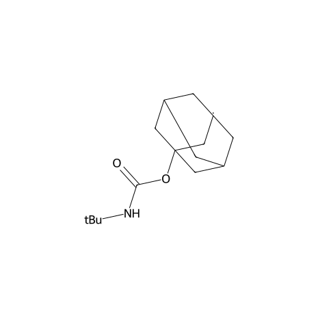 CC(C)(C)NC(=O)OC12C[C]3CC(CC(C3)C1)C2